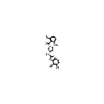 COc1cccc(OC)c1C(=O)N1CC[C@@H](Nc2nc3ccc(Cl)c(Cl)c3s2)C1